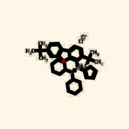 CC(C)(C)c1ccc2c(c1)Cc1c-2ccc(C(C)(C)C)[c]1[Zr+2]([C]1=CC=CC1)=[Si](C1CCCCC1)C1CCCCC1.[Cl-].[Cl-]